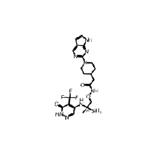 C[C@]([SiH3])(CONC(=O)CC1CCN(c2ncc3cc[nH]c3n2)CC1)Nc1cn[nH]c(=O)c1C(F)(F)F